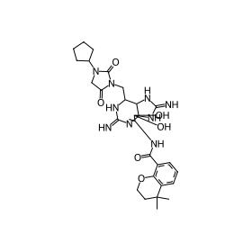 CC1(C)CCOc2c(C(=O)NC3CN4C(=N)NC(CN5C(=O)CN(C6CCCC6)C5=O)C5NC(=N)NC54C3(O)O)cccc21